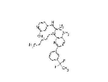 C=C(Nc1ccnc(C)c1)N(CCCCC)c1nc(-c2cccc(C(C)(F)F)c2)ccc1N